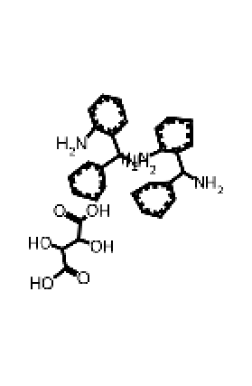 Nc1ccccc1C(N)c1ccccc1.Nc1ccccc1C(N)c1ccccc1.O=C(O)C(O)C(O)C(=O)O